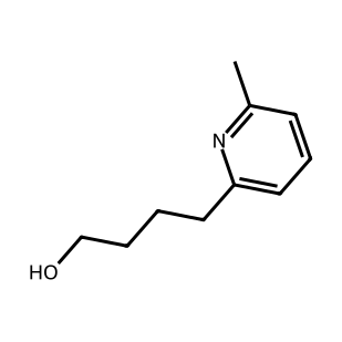 Cc1cccc(CCCCO)n1